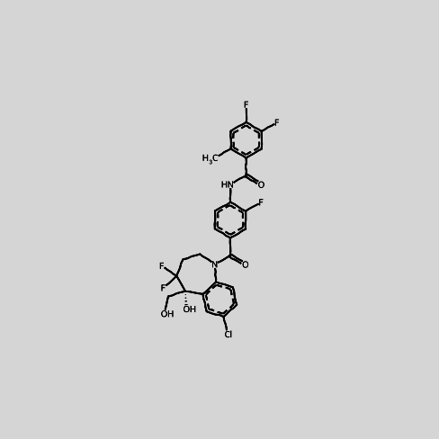 Cc1cc(F)c(F)cc1C(=O)Nc1ccc(C(=O)N2CCC(F)(F)[C@](O)(CO)c3cc(Cl)ccc32)cc1F